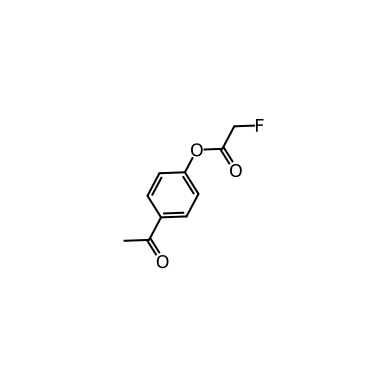 CC(=O)c1ccc(OC(=O)CF)cc1